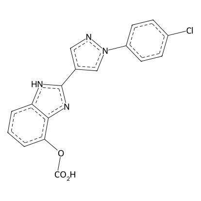 O=C(O)Oc1cccc2[nH]c(-c3cnn(-c4ccc(Cl)cc4)c3)nc12